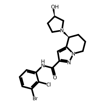 O=C(Nc1cccc(Br)c1Cl)c1cc2n(n1)CCC[C@@H]2N1CC[C@@H](O)C1